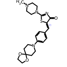 CN1CCN(C2=NC(=O)/C(=C/c3ccc(N4CCC5(CC4)OCCO5)cc3)S2)CC1